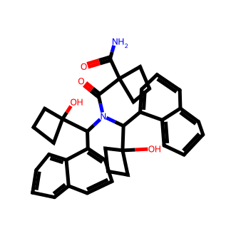 NC(=O)C1(C(=O)N(C(c2cccc3ccccc23)C2(O)CCC2)C(c2cccc3ccccc23)C2(O)CCC2)CCC1